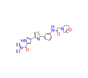 CCN(CC)C(=O)c1cc(-c2csc(-c3cccc(NC(=O)CN4CCOCC4)c3)n2)c[nH]1